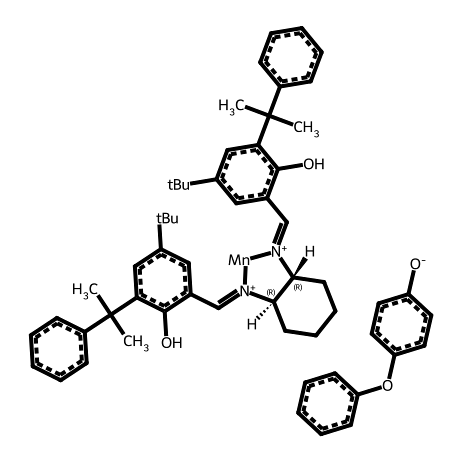 CC(C)(C)c1cc(C=[N+]2[Mn][N+](=Cc3cc(C(C)(C)C)cc(C(C)(C)c4ccccc4)c3O)[C@@H]3CCCC[C@H]32)c(O)c(C(C)(C)c2ccccc2)c1.[O-]c1ccc(Oc2ccccc2)cc1